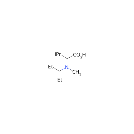 CCC(CC)N(C)C(C(=O)O)C(C)C